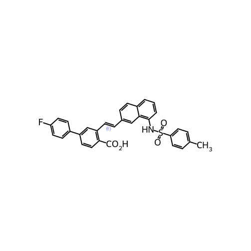 Cc1ccc(S(=O)(=O)Nc2cccc3ccc(/C=C/c4cc(-c5ccc(F)cc5)ccc4C(=O)O)cc23)cc1